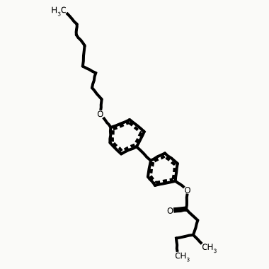 CCCCCCCCOc1ccc(-c2ccc(OC(=O)CC(C)CC)cc2)cc1